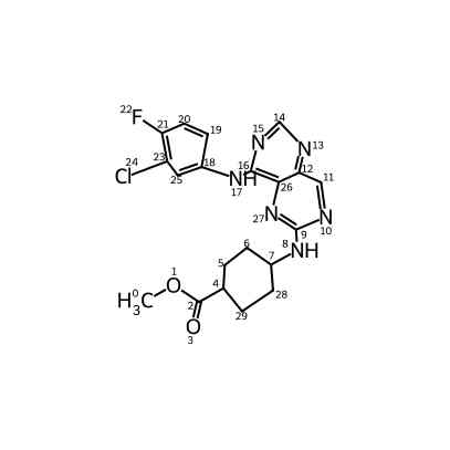 COC(=O)C1CCC(Nc2ncc3ncnc(Nc4ccc(F)c(Cl)c4)c3n2)CC1